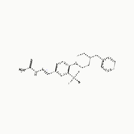 NC(=S)N/N=C/c1ccc(N2CCN(Cc3ccccc3)CC2)c(C(F)(F)F)c1